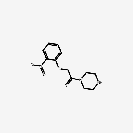 O=C(COc1ccccc1[N+](=O)[O-])N1CCNCC1